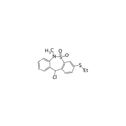 CCSc1ccc2c(c1)S(=O)(=O)N(C)c1ccccc1C2Cl